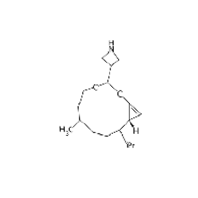 CC1CCCC(C2CNC2)CC2=C[C@@H]2C(C(C)C)CC1